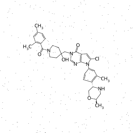 Cc1ccc(C(=O)N2CCC(O)(Cn3cnc4c(cc(Cl)n4-c4ccc([C@H]5CO[C@H](C)CN5)c(C)c4)c3=O)CC2)c(C)c1